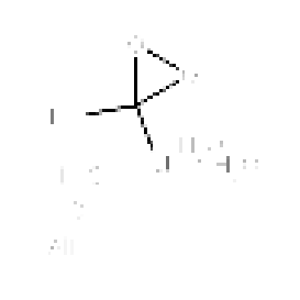 CC1(O)OO1.O.O.O.O.[AlH3]